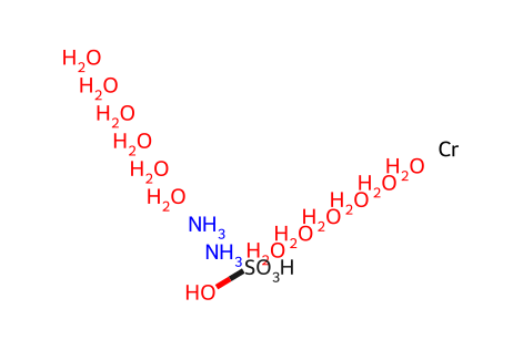 N.N.O.O.O.O.O.O.O.O.O.O.O.O.O=S(=O)(O)O.[Cr]